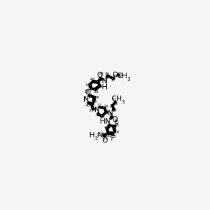 CCCCN(C(=O)Nc1cc(C(N)=O)c(F)cc1F)C1CCN(Cc2ccc(Oc3ccc(C(=O)NCCOC)cc3)nc2)CC1